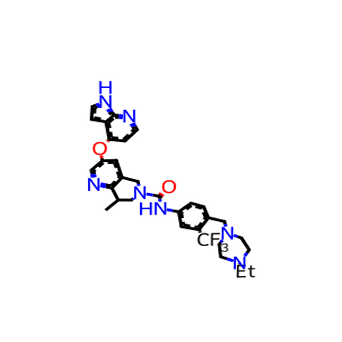 CCN1CCN(Cc2ccc(NC(=O)N3Cc4cc(Oc5ccnc6[nH]ccc56)cnc4C(C)C3)cc2C(F)(F)F)CC1